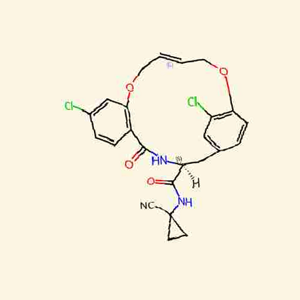 N#CC1(NC(=O)[C@@H]2Cc3ccc(c(Cl)c3)OC/C=C/COc3cc(Cl)ccc3C(=O)N2)CC1